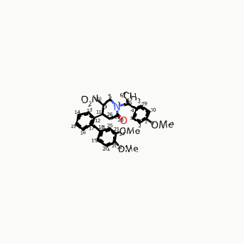 COc1ccc(C(C)N2CC([N+](=O)[O-])C(c3ccccc3-c3ccc(OC)c(OC)c3)CC2=O)cc1